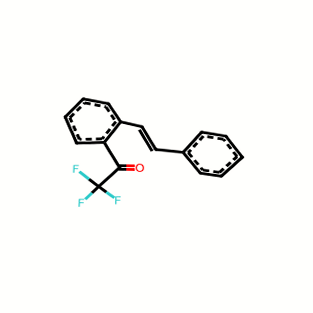 O=C(c1ccccc1C=Cc1ccccc1)C(F)(F)F